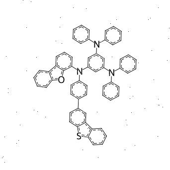 c1ccc(N(c2ccccc2)c2cc(N(c3ccccc3)c3ccccc3)cc(N(c3ccc(-c4ccc5sc6ccccc6c5c4)cc3)c3cccc4c3oc3ccccc34)c2)cc1